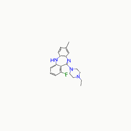 CCN1CCN(C2=Nc3cc(C)ccc3Nc3cccc(F)c32)CC1